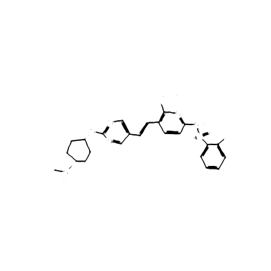 CN[C@H]1CC[C@H](Nc2ncc(/C=C/c3ccc(NS(=O)(=O)c4ccccc4Cl)nc3OC)cn2)CC1